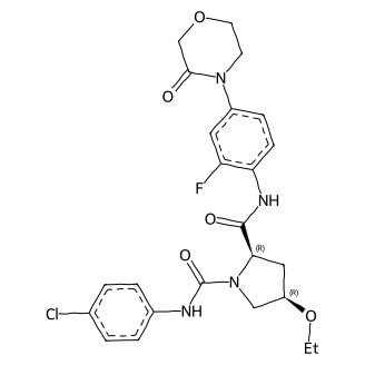 CCO[C@@H]1C[C@H](C(=O)Nc2ccc(N3CCOCC3=O)cc2F)N(C(=O)Nc2ccc(Cl)cc2)C1